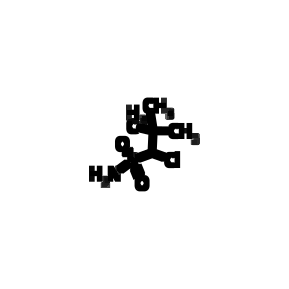 CC(C)(C)C(Cl)S(N)(=O)=O